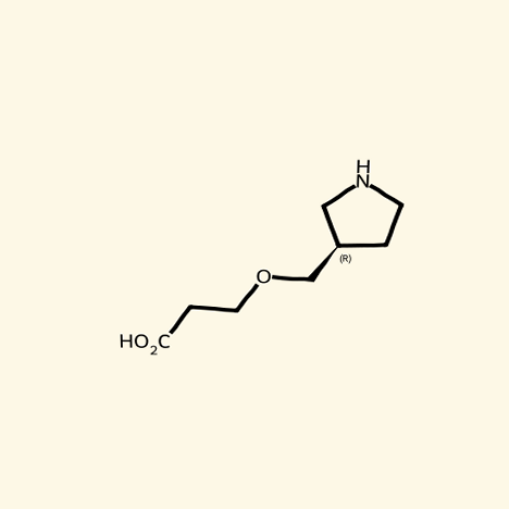 O=C(O)CCOC[C@@H]1CCNC1